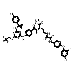 COC(=O)[C@@H](CCNC(=O)C(=O)Nc1ccc(Oc2ccc(Cl)cc2Cl)nc1)NC(=O)c1ccc(Nc2nc(NC3(c4ccc(Cl)cc4)CC3)nc(OCC(F)(F)F)n2)cc1